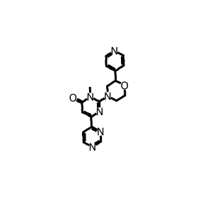 Cn1c(N2CCOC(c3ccncc3)C2)nc(-c2ccncn2)cc1=O